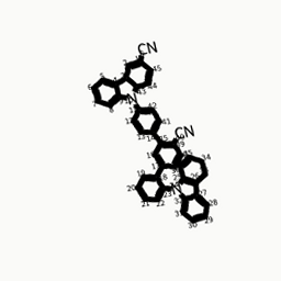 N#CC1=CC2c3ccccc3N(c3ccc(-c4cc(-c5ccccc5-n5c6c(c7ccccc75)CCC=C6)ccc4C#N)cc3)C2C=C1